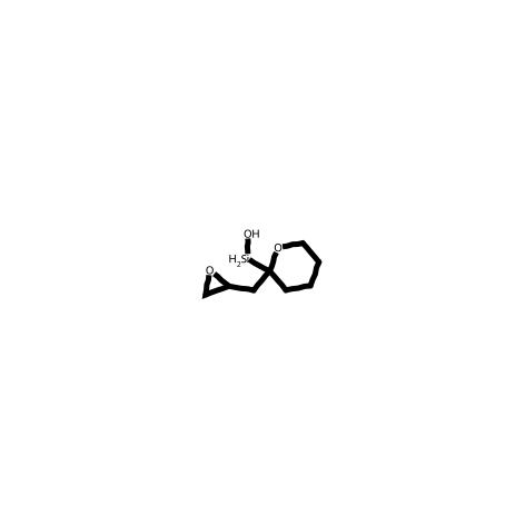 O[SiH2]C1(CC2CO2)CCCCO1